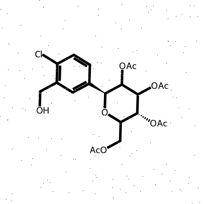 CC(=O)OCC1O[C@@H](c2ccc(Cl)c(CO)c2)C(OC(C)=O)C(OC(C)=O)[C@@H]1OC(C)=O